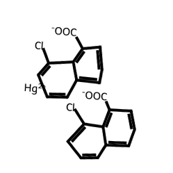 O=C([O-])c1cccc2cccc(Cl)c12.O=C([O-])c1cccc2cccc(Cl)c12.[Hg+2]